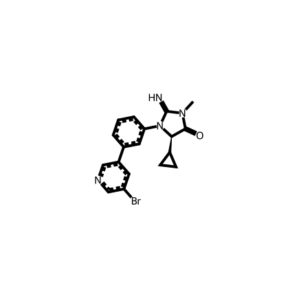 CN1C(=N)N(c2cccc(-c3cncc(Br)c3)c2)[C@H](C2CC2)C1=O